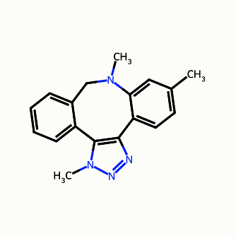 Cc1ccc2c(c1)N(C)Cc1ccccc1-c1c-2nnn1C